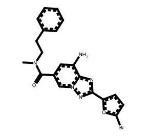 CN(CCc1ccccc1)C(=O)c1cc(N)c2nc(-c3ccc(Br)o3)nn2c1